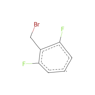 Fc1c[c]cc(F)c1CBr